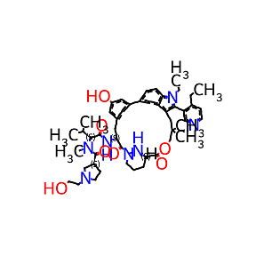 CCc1ccncc1-c1c2c3cc(ccc3n1CC)-c1cc(O)cc(c1)C[C@H](NC(=O)[C@H](C(C)C)N(C)C(=O)[C@H]1CCN(CCO)C1)C(=O)N1CCC[C@H](N1)C(=O)OCC(C)(C)C2